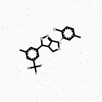 Cc1cc(C2ON=C3C2CO[C@H]3c2cc(C)ccc2Cl)cc(C(F)(F)F)c1